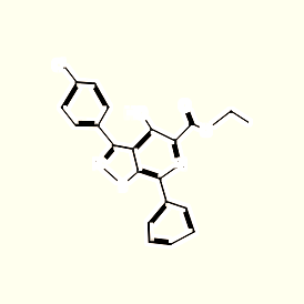 CCOC(=O)c1nc(-c2ccccc2)c2snc(-c3ccc(Cl)cc3)c2c1O